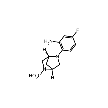 Nc1cc(F)ccc1N1C[C@H]2C[C@@H]1CN2C(=O)O